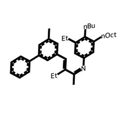 CCCCCCCCc1cc(N=C(C)C(=Cc2cc(C)cc(-c3ccccc3)c2)CC)cc(CC)c1CCCC